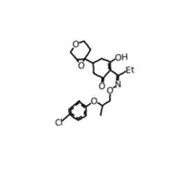 CC/C(=N/OCC(C)Oc1ccc(Cl)cc1)C1=C(O)CC(C23CCOCC2O3)CC1=O